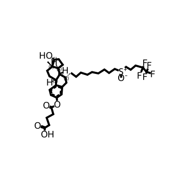 C[C@]12CC[C@@H]3c4ccc(OC(=O)CCCC(=O)O)cc4C[C@@H](CCCCCCCCC[S+]([O-])CCCC(F)(F)C(F)(F)F)[C@H]3[C@@H]1CC[C@@H]2O